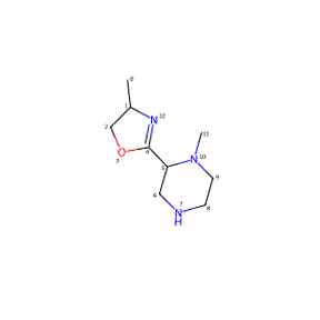 CC1COC(C2CNCCN2C)=N1